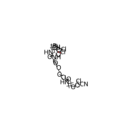 CC(C)(C)CC1NC(C(=O)NCCOCCOCCOc2ccc(C(=O)N[C@H]3C(C)(C)[C@H](Oc4ccc(C#N)c(Cl)c4)C3(C)C)cc2)[C@@H](c2cccc(Cl)c2F)[C@@]1(C#N)c1ccc(Cl)cc1F